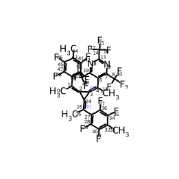 CC(=C1C(=C(/C)c2c(C(F)(F)F)nc(C(F)(F)F)nc2C(F)(F)F)/C1=C(/C)c1c(F)c(F)c(C)c(F)c1F)c1c(F)c(F)c(C)c(F)c1F